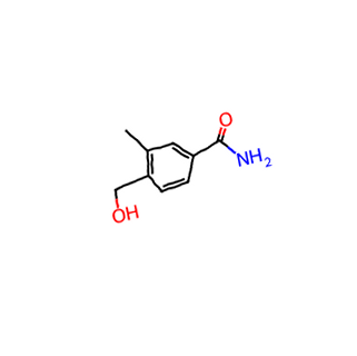 Cc1cc(C(N)=O)ccc1CO